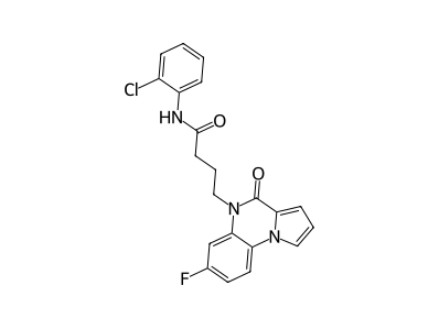 O=C(CCCn1c(=O)c2cccn2c2ccc(F)cc21)Nc1ccccc1Cl